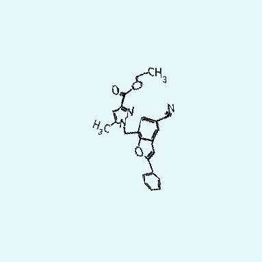 CCOC(=O)c1cc(C)n(Cc2cc(C#N)cc3cc(-c4ccccc4)oc23)n1